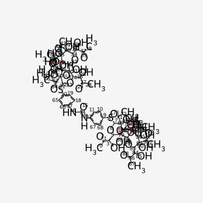 CC(=O)C(O)[C@H]1O[C@@H](Sc2ccc(NC(=O)Nc3ccc(S[C@@H]4O[C@H](C(O)C(C)=O)[C@](O)([C@@H]5O[C@H](C(O)C(C)=O)[C@](O)(C(C)=O)[C@@](O)(C(C)=O)[C@]5(O)C(C)=O)[C@@](O)(C(C)=O)[C@]4(O)C(C)=O)cc3)cc2)[C@@](O)(C(C)=O)[C@](O)(C(C)=O)[C@@]1(O)[C@@H]1O[C@H](C(O)C(C)=O)[C@](O)(C(C)=O)[C@@](O)(C(C)=O)[C@]1(O)C(C)=O